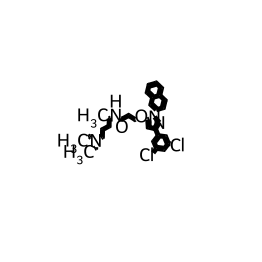 CCN(CC)CCCC(C)NC(=O)CCOc1cc(-c2cc(Cl)cc(Cl)c2)nn1-c1ccc2ccccc2c1